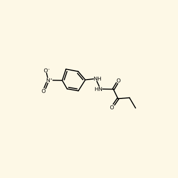 CCC(=O)C(=O)NNc1ccc([N+](=O)[O-])cc1